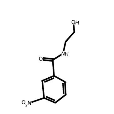 O=C(NCCO)c1[c]ccc([N+](=O)[O-])c1